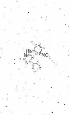 C/C=C(\C=N/C)c1nc(C)nc(Nc2cc([N+](=O)[O-])ccc2C)n1